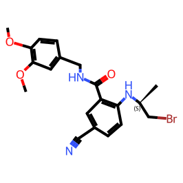 COc1ccc(CNC(=O)c2cc(C#N)ccc2N[C@@H](C)CBr)cc1OC